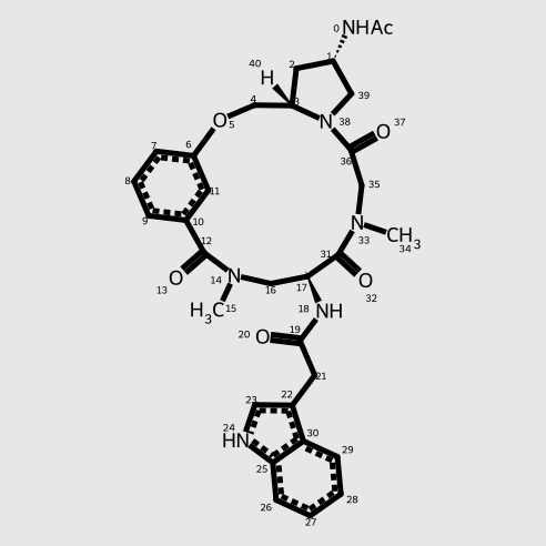 CC(=O)N[C@H]1C[C@H]2COc3cccc(c3)C(=O)N(C)C[C@H](NC(=O)Cc3c[nH]c4ccccc34)C(=O)N(C)CC(=O)N2C1